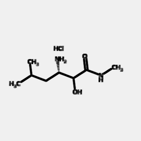 CNC(=O)C(O)[C@@H](N)CC(C)C.Cl